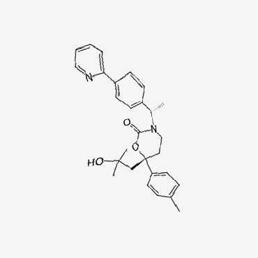 Cc1ccc([C@@]2(CC(C)(C)O)CCN([C@@H](C)c3ccc(-c4ccccn4)cc3)C(=O)O2)cc1